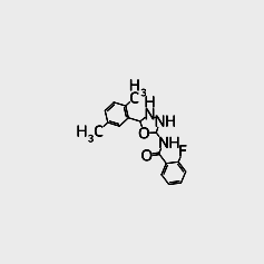 Cc1ccc(C)c(C2NNC(NC(=O)c3ccccc3F)O2)c1